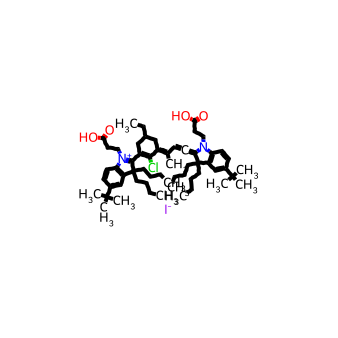 CCCCC1(CCCC)C(=C=CC(C)=C2CC(CC)CC(C3=[N+](CCC(=O)O)c4ccc(C(C)(C)C)cc4C3(CCCC)CCCC)=C2Cl)N(CCC(=O)O)c2ccc(C(C)(C)C)cc21.[I-]